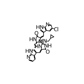 O=C1NC(NCC2CC2)(N2C(=S)NC(=O)C2=Cc2c[nH]c3ncc(Cl)cc23)NC1=Cc1c[nH]c2ncccc12